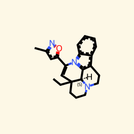 CCC12C=C(c3cc(C)no3)n3c4c(c5ccccc53)CCN(CCC1)[C@H]42